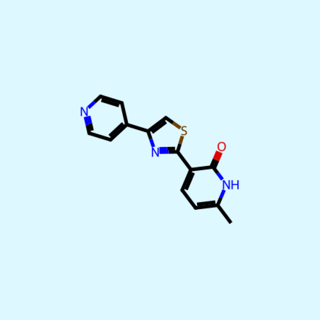 Cc1ccc(-c2nc(-c3ccncc3)cs2)c(=O)[nH]1